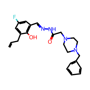 C=CCc1cc(F)cc(C=NNC(=O)CN2CCN(Cc3ccccc3)CC2)c1O